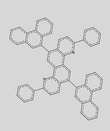 c1ccc(-c2ccc3c(-c4cc5ccccc5c5ccccc45)cc4c(cc(-c5cc6ccccc6c6ccccc56)c5ccc(-c6ccccc6)nc54)c3n2)cc1